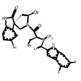 CC(=O)c1ccc2c(c1)[C@@]1(C[C@@H](C#N)N(C(=O)[C@H](CC(C)C)N(C)C(=O)c3cc4c(F)cc(F)cc4[nH]3)C1)C(=O)N2